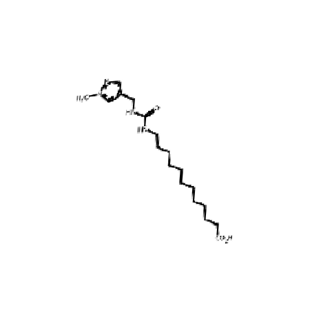 Cn1cc(CNC(=O)NCCCCCCCCCCCC(=O)O)cn1